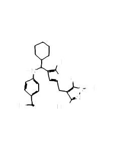 Cc1nn(C)c(C)c1Cc1cc(C(Nc2ccc(C(=O)O)cc2)C2CCCCC2)c(C)o1